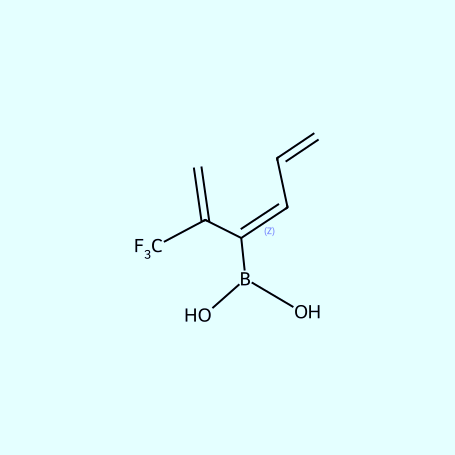 C=C/C=C(/B(O)O)C(=C)C(F)(F)F